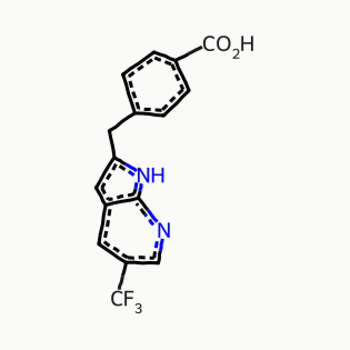 O=C(O)c1ccc(Cc2cc3cc(C(F)(F)F)cnc3[nH]2)cc1